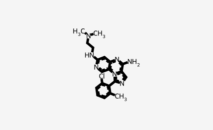 Cc1cccc(Cl)c1-c1ncc2c(N)nc3cc(NCCN(C)C)ncc3n12